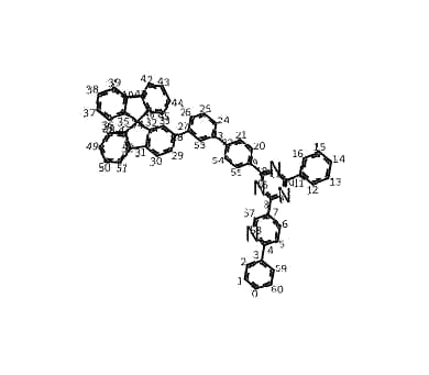 c1ccc(-c2ccc(-c3nc(-c4ccccc4)nc(-c4ccc(-c5cccc(-c6ccc7c(c6)C6(c8ccccc8-c8ccccc86)c6ccccc6-7)c5)cc4)n3)cn2)cc1